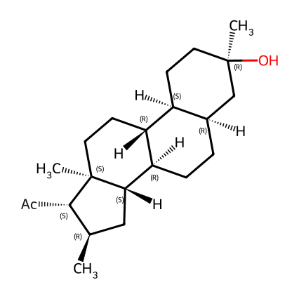 CC(=O)[C@H]1[C@H](C)C[C@H]2[C@@H]3CC[C@@H]4C[C@](C)(O)CC[C@@H]4[C@H]3CC[C@@]21C